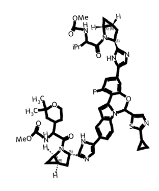 COC(=O)NC(C(=O)N1[C@@H]2C[C@@H]2C[C@H]1c1ncc(-c2cc(F)c3c(c2)OC(c2cnc(C4CC4)s2)n2c-3cc3cc(-c4cnc([C@@H]5C[C@H]6C[C@H]6N5C(=O)C(NC(=O)OC)C5CCOC(C)(C)C5)[nH]4)ccc32)[nH]1)C(C)C